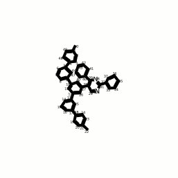 Cc1ccc(-c2cccc(-c3cc(-c4cccc(-c5ccc(C)cc5)c4)cc(-c4cnc(-c5ccccc5)nc4-c4ccccc4)c3)c2)cc1